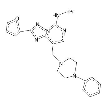 CCCNc1ncc(CN2CCN(c3ccccc3)CC2)c2nc(-c3ccco3)nn12